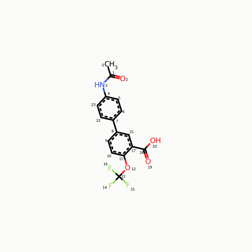 CC(=O)Nc1ccc(-c2ccc(OC(F)(F)F)c(C(=O)O)c2)cc1